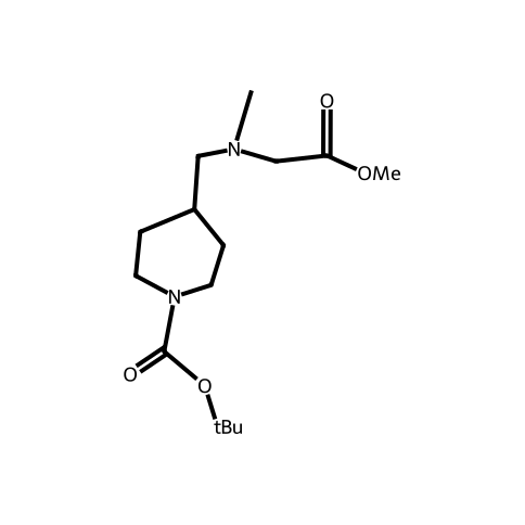 COC(=O)CN(C)CC1CCN(C(=O)OC(C)(C)C)CC1